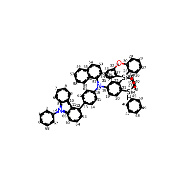 c1ccc(-n2c3ccccc3c3c(-c4ccc(N(c5ccc6c(c5)[Si]5(c7ccccc7Oc7ccccc75)c5ccccc5[SiH]6c5ccccc5)c5cccc6ccccc56)cc4)cccc32)cc1